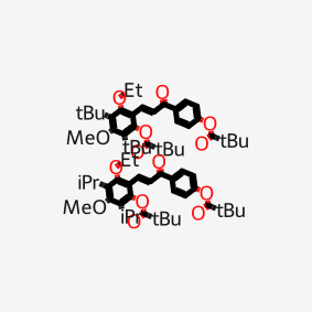 CCOc1c(C=CC(=O)c2ccc(OC(=O)C(C)(C)C)cc2)c(OC(=O)C(C)(C)C)c(C(C)(C)C)c(OC)c1C(C)(C)C.CCOc1c(C=CC(=O)c2ccc(OC(=O)C(C)(C)C)cc2)c(OC(=O)C(C)(C)C)c(C(C)C)c(OC)c1C(C)C